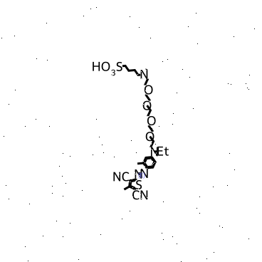 CCN(CCOCCOCCOCCOCCN(C)CCCCS(=O)(=O)O)c1ccc(/N=N/c2sc(C#N)c(C)c2C#N)c(C)c1